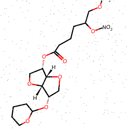 O=C(CCCC(CO[N+](=O)[O-])O[N+](=O)[O-])O[C@H]1CO[C@@H]2[C@H]1OC[C@@H]2OC1CCCCO1